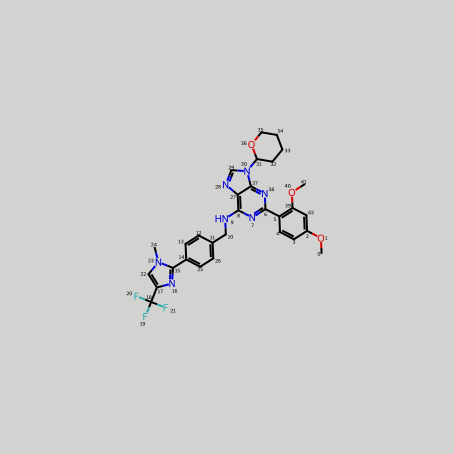 COc1ccc(-c2nc(NCc3ccc(-c4nc(C(F)(F)F)cn4C)cc3)c3ncn(C4CCCCO4)c3n2)c(OC)c1